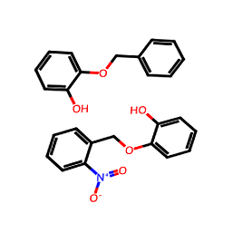 O=[N+]([O-])c1ccccc1COc1ccccc1O.Oc1ccccc1OCc1ccccc1